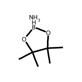 CC1(C)OBOC1(C)C.N